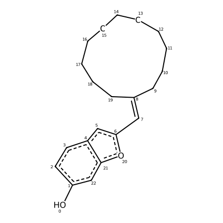 Oc1ccc2cc(C=C3CCCCCCCCCCC3)oc2c1